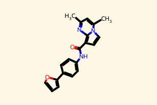 Cc1cc(C)n2ccc(C(=O)Nc3ccc(-c4ccco4)cc3)c2n1